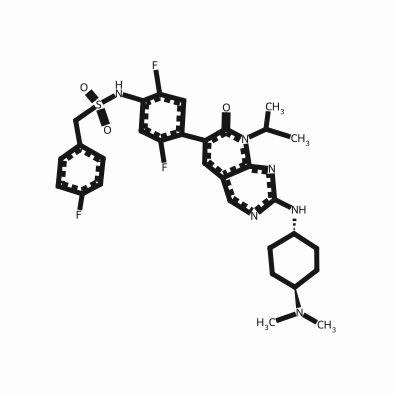 CC(C)n1c(=O)c(-c2cc(F)c(NS(=O)(=O)Cc3ccc(F)cc3)cc2F)cc2cnc(N[C@H]3CC[C@H](N(C)C)CC3)nc21